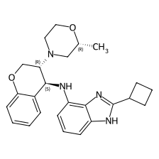 C[C@@H]1CN([C@H]2COc3ccccc3[C@@H]2Nc2cccc3[nH]c(C4CCC4)nc23)CCO1